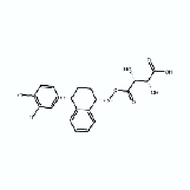 O=C(O)[C@H](O)[C@@H](O)C(=O)ON[C@H]1CC[C@@H](c2ccc(Cl)c(Cl)c2)c2ccccc21